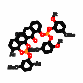 CCOc1ccc(OC)cc1OP(Oc1cc(OC)ccc1OCC)Oc1cccc2c1C(=O)c1c(cccc1OP(Oc1cc(OC)ccc1C(C)=O)Oc1cc(OC)ccc1C(C)=O)C2